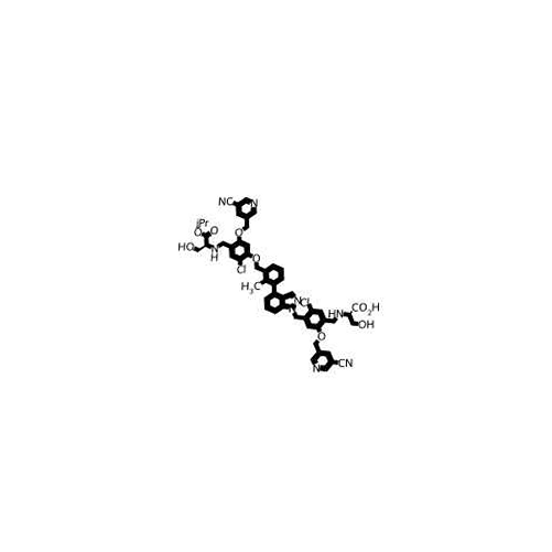 Cc1c(COc2cc(OCc3cncc(C#N)c3)c(CN[C@@H](CO)C(=O)OC(C)C)cc2Cl)cccc1-c1cccc2c1cnn2Cc1cc(OCc2cncc(C#N)c2)c(CN[C@@H](CO)C(=O)O)cc1Cl